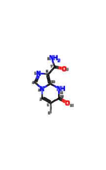 Cc1cn2cnc(C(N)=O)c2[nH]c1=O